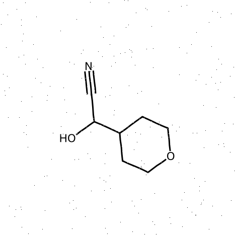 N#CC(O)C1CCOCC1